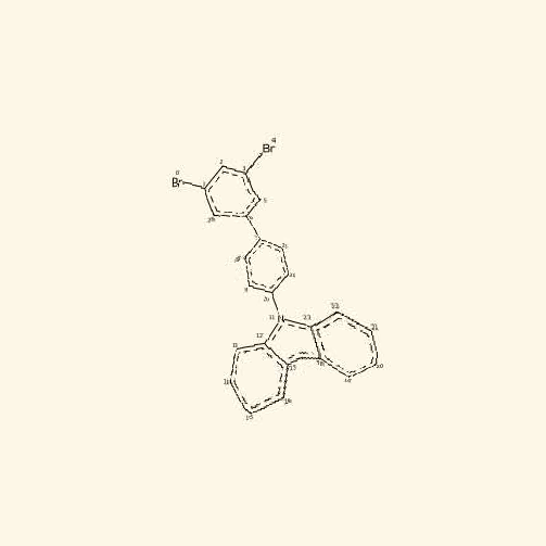 Brc1cc(Br)cc(-c2ccc(-n3c4ccccc4c4ccccc43)cc2)c1